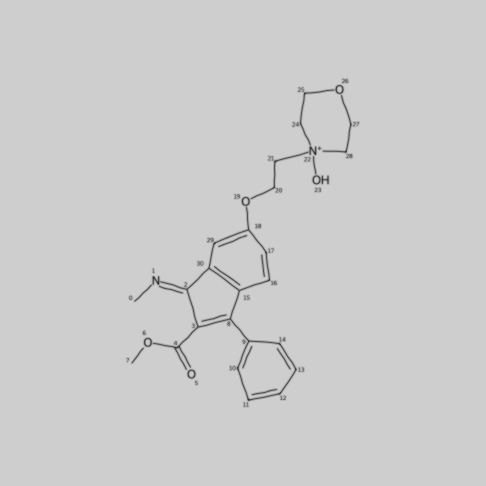 C/N=C1\C(C(=O)OC)=C(c2ccccc2)c2ccc(OCC[N+]3(O)CCOCC3)cc21